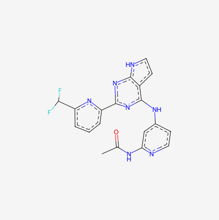 CC(=O)Nc1cc(Nc2nc(-c3cccc(C(F)F)n3)nc3[nH]ccc23)ccn1